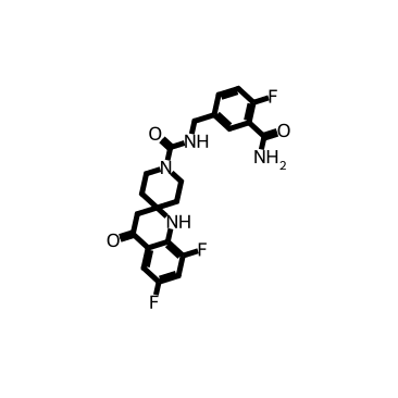 NC(=O)c1cc(CNC(=O)N2CCC3(CC2)CC(=O)c2cc(F)cc(F)c2N3)ccc1F